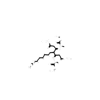 COC(=O)C/C(=N\N(C)C(=O)OC(C)(C)C)C(CCCCCCN=[N+]=[N-])/C(CC(=O)OC)=N/N(C)C(=O)OC(C)(C)C